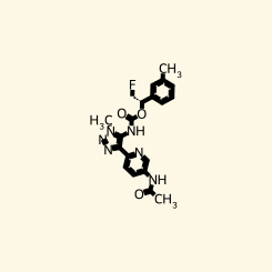 CC(=O)Nc1ccc(-c2nnn(C)c2NC(=O)O[C@H](CF)c2cccc(C)c2)nc1